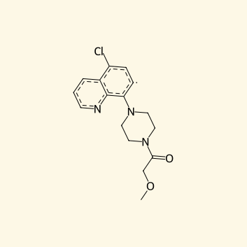 COCC(=O)N1CCN(c2[c]cc(Cl)c3cccnc23)CC1